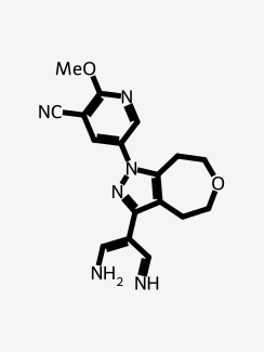 COc1ncc(-n2nc(/C(C=N)=C/N)c3c2CCOCC3)cc1C#N